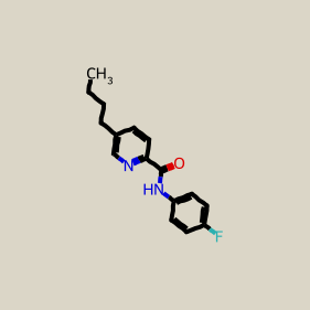 CCCCc1ccc(C(=O)Nc2ccc(F)cc2)nc1